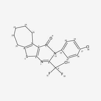 O=c1c2c3c(sc2nc(C(F)(F)Cl)n1-c1ccc(Cl)cc1)CCCCC3